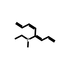 C=C/C=C\C(=C/C=C)P(C)CC